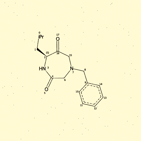 CC(C)C[C@@H]1NC(=O)CN(Cc2ccccc2)CC1=O